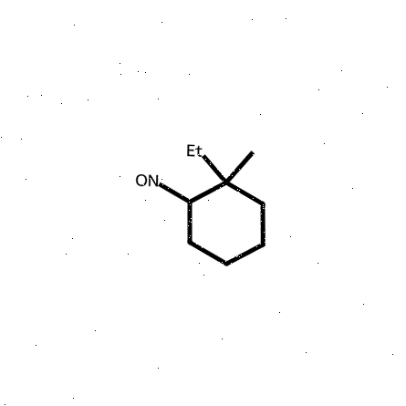 CCC1(C)CCCCC1N=O